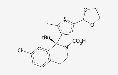 Cc1sc(C2OCCO2)cc1[C@@]1(C(C)(C)C)c2cc(Cl)ccc2CCN1C(=O)O